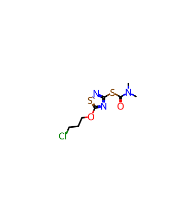 CN(C)C(=O)Sc1nsc(OCCCCl)n1